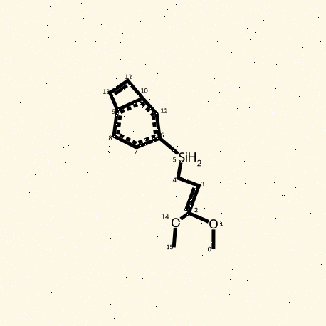 COC(=CC[SiH2]c1ccc2c(c1)C=C2)OC